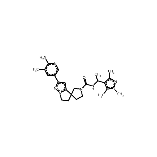 Cc1nn(C)c(C)c1C(C)NC(=O)N1CCC2(CCn3nc(-c4cnc(N)c(C(F)(F)F)c4)cc32)C1